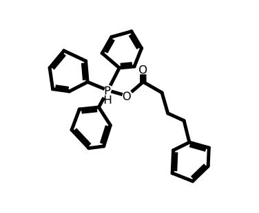 O=C(CCCc1ccccc1)O[PH](c1ccccc1)(c1ccccc1)c1ccccc1